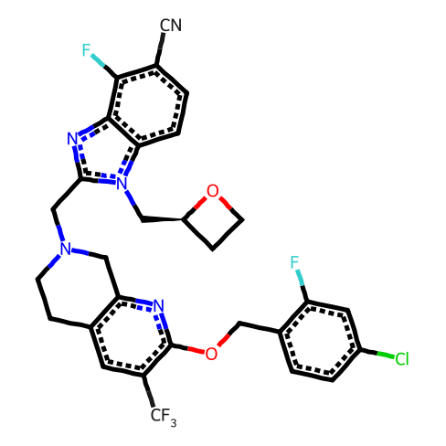 N#Cc1ccc2c(nc(CN3CCc4cc(C(F)(F)F)c(OCc5ccc(Cl)cc5F)nc4C3)n2C[C@@H]2CCO2)c1F